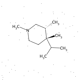 CC(C)[C@]1(C)CCN(C)C[C@@H]1C